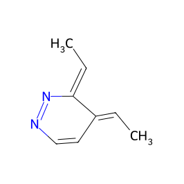 CC=c1ccnnc1=CC